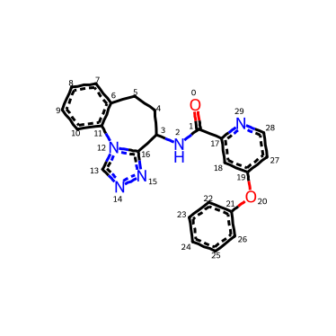 O=C(NC1CCc2ccccc2-n2cnnc21)c1cc(Oc2ccccc2)ccn1